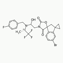 C[C@H](N(Cc1ccc(F)cc1)C(O)CN1C(=O)OC2(CC3(CC3)c3cc(Br)ccc32)C1=O)C(F)(F)F